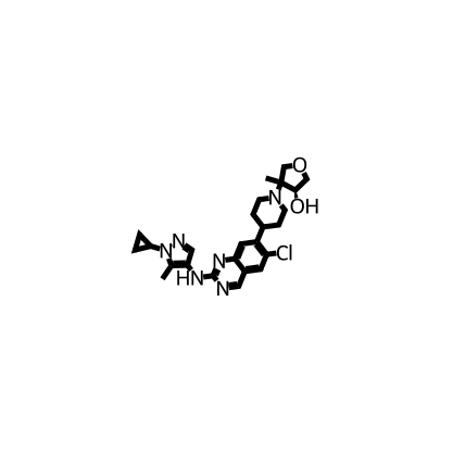 Cc1c(Nc2ncc3cc(Cl)c(C4CCN(C5(C)COC[C@H]5O)CC4)cc3n2)cnn1C1CC1